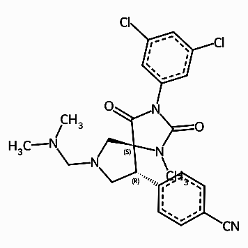 CN(C)CN1C[C@@H](c2ccc(C#N)cc2)[C@]2(C1)C(=O)N(c1cc(Cl)cc(Cl)c1)C(=O)N2C